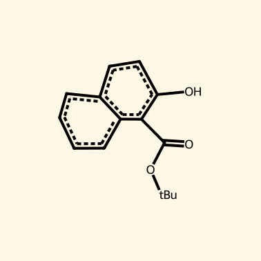 CC(C)(C)OC(=O)c1c(O)ccc2ccccc12